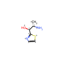 C[C@H](N)[C@H](O)c1nccs1